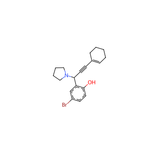 Oc1ccc(Br)cc1C(C#CC1=CCCCC1)N1CCCC1